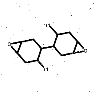 ClC1CC2OC2CC1C1CC2OC2CC1Cl